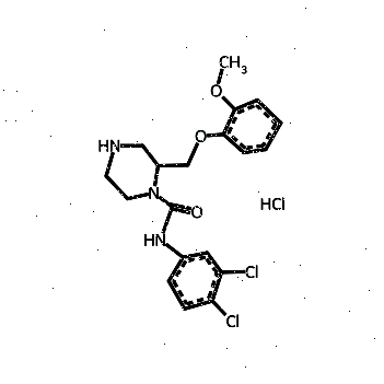 COc1ccccc1OCC1CNCCN1C(=O)Nc1ccc(Cl)c(Cl)c1.Cl